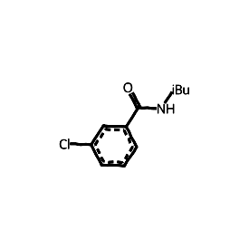 CCC(C)NC(=O)c1cccc(Cl)c1